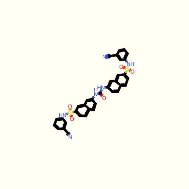 N#Cc1cccc(NS(=O)(=O)c2ccc3ccc(NC(=O)Nc4ccc5ccc(S(=O)(=O)Nc6cccc(C#N)c6)cc5c4)cc3c2)c1